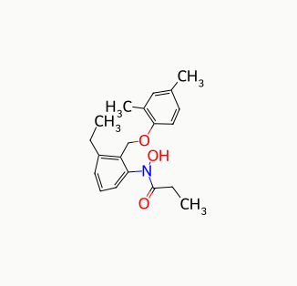 CCC(=O)N(O)c1cccc(CC)c1COc1ccc(C)cc1C